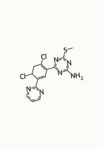 CSc1nc(N)nc(C2=C(Cl)CC(Cl)C(c3ncccn3)=C2)n1